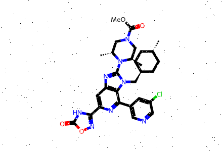 COC(=O)N1C[C@@H](C)N(c2nc3cc(-c4noc(=O)[nH]4)nc(-c4cncc(Cl)c4)c3n2C[C@H]2CC[C@H](C)CC2)[C@H](C)C1